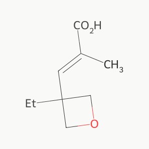 CCC1(C=C(C)C(=O)O)COC1